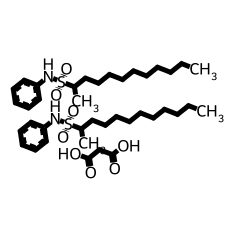 CCCCCCCCCCC(C)S(=O)(=O)Nc1ccccc1.CCCCCCCCCCC(C)S(=O)(=O)Nc1ccccc1.O=C(O)CC(=O)O